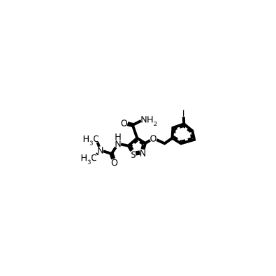 CN(C)C(=O)Nc1snc(OCc2cccc(I)c2)c1C(N)=O